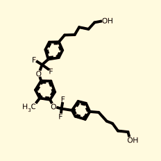 Cc1cc(OC(F)(F)c2ccc(CCCCCO)cc2)ccc1OC(F)(F)c1ccc(CCCCCO)cc1